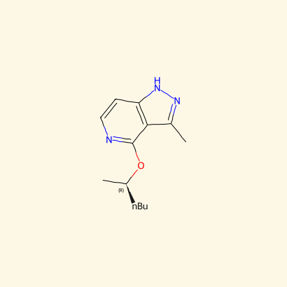 CCCC[C@@H](C)Oc1nccc2[nH]nc(C)c12